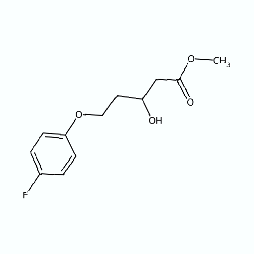 COC(=O)CC(O)CCOc1ccc(F)cc1